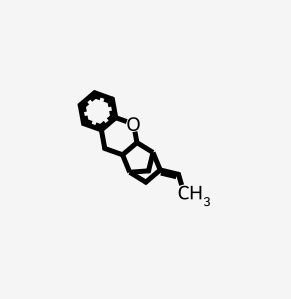 CC=C1CC2CC1C1Oc3ccccc3CC21